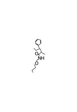 CCCCOCNC(=O)C(C)CC(CC)c1ccccc1